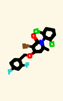 Cc1cc(OCc2ccc(F)cc2F)c(Br)c(=O)n1-c1c(Cl)cccc1Cl